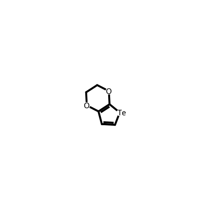 c1cc2c([te]1)OCCO2